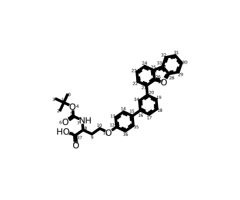 CC(C)(C)OC(=O)NC(CCOc1ccc(-c2cccc(-c3cccc4c3oc3ccccc34)c2)cc1)C(=O)O